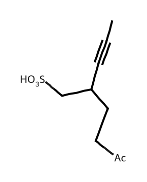 CC#CC(CCC(C)=O)CS(=O)(=O)O